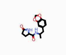 CC(Cc1ccc2c(c1)OCO2)NC(=O)C1CCC(=O)N1